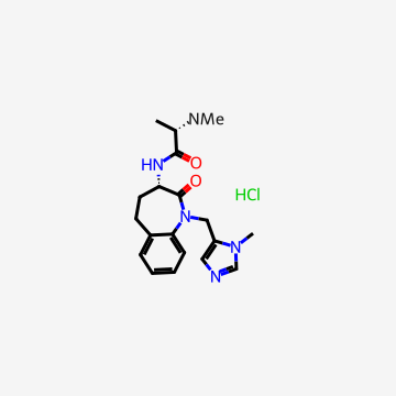 CN[C@@H](C)C(=O)N[C@H]1CCc2ccccc2N(Cc2cncn2C)C1=O.Cl